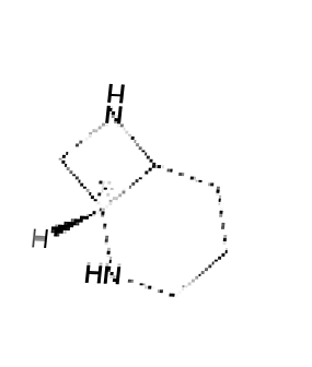 C1CN[C@@H]2CNC2C1